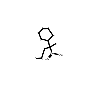 [CH2]C(CCC)(C1CCCCC1)[N+](=O)[O-]